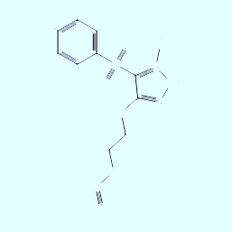 O=[PH2]OCCOc1no[n+]([O-])c1S(=O)(=O)c1ccccc1